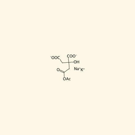 CC(=O)OC(=O)CC(O)(CC(=O)[O-])C(=O)[O-].[K+].[Na+]